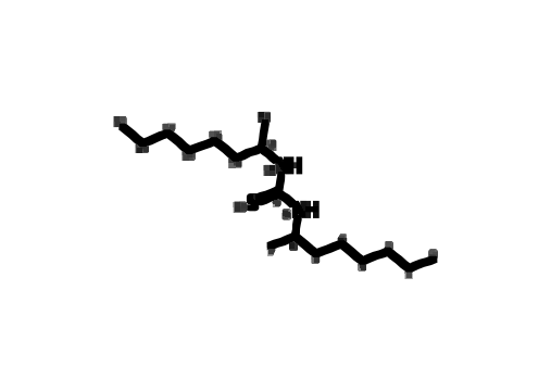 CCCCCCC(C)NC(=S)NC(C)CCCCCC